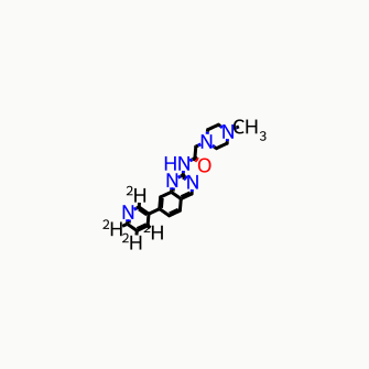 [2H]c1nc([2H])c(-c2ccc3cnc(NC(=O)CN4CCN(C)CC4)nc3c2)c([2H])c1[2H]